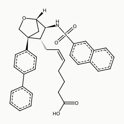 O=C(O)CCC/C=C\C[C@H]1[C@H](NS(=O)(=O)c2ccc3ccccc3c2)[C@@H]2C[C@@]1(c1ccc(-c3ccccc3)cc1)CO2